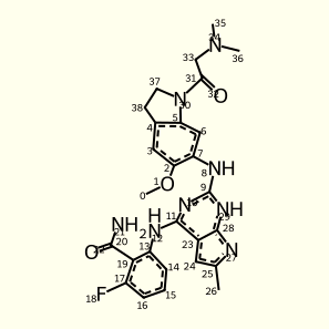 COc1cc2c(cc1Nc1nc(Nc3cccc(F)c3C(N)=O)c3cc(C)nc-3[nH]1)N(C(=O)CN(C)C)CC2